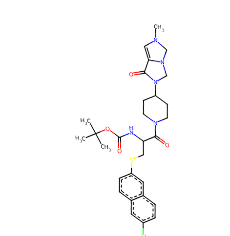 CN1C=C2C(=O)N(C3CCN(C(=O)C(CSc4ccc5cc(Cl)ccc5c4)NC(=O)OC(C)(C)C)CC3)CN2C1